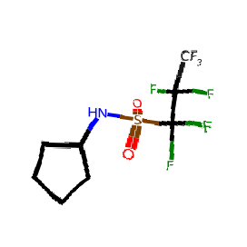 O=S(=O)(NC1CCCC1)C(F)(F)C(F)(F)C(F)(F)F